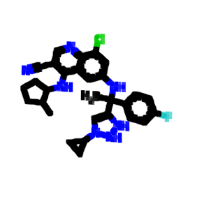 BC(Nc1cc(Cl)c2ncc(C#N)c(NC3CCCC3C)c2c1)(C1=CN(C2CC2)NN1)c1ccc(F)cc1